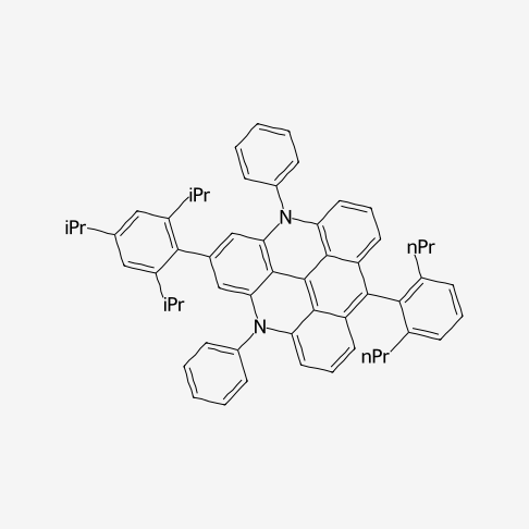 CCCc1cccc(CCC)c1-c1c2cccc3c2c2c4c1cccc4n(-c1ccccc1)c1cc(-c4c(C(C)C)cc(C(C)C)cc4C(C)C)cc(c1-2)n3-c1ccccc1